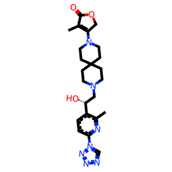 CC1=C(N2CCC3(CCN(C[C@@H](O)c4ccc(-n5cnnn5)nc4C)CC3)CC2)COC1=O